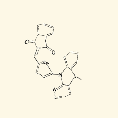 CN1c2ccccc2N(c2ccc(C=C3C(=O)c4ccccc4C3=O)[se]2)c2ncccc21